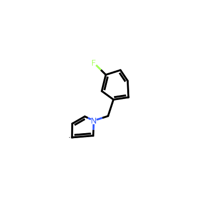 Fc1cccc(Cn2c[c]cc2)c1